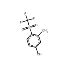 Cc1cc(O)ccc1S(=O)(=O)C(F)(F)F